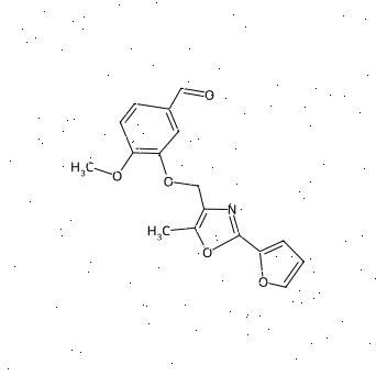 COc1ccc(C=O)cc1OCc1nc(-c2ccco2)oc1C